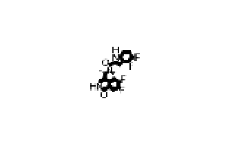 C[C@@H](c1c[nH]c(=O)c2cc(F)c(F)cc12)N(C)C(=O)c1cc2c(F)c(F)ccc2[nH]1